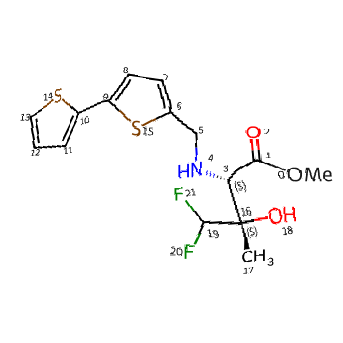 COC(=O)[C@@H](NCc1ccc(-c2cccs2)s1)[C@](C)(O)C(F)F